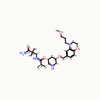 COCCCN1CCOc2ccc(CO[C@@H]3CC[C@@H](C[C@@H](C)C(=O)NCC(C)(C)C(N)=O)NC3)cc21